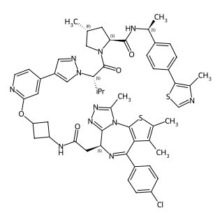 Cc1ncsc1-c1ccc([C@H](C)NC(=O)[C@@H]2C[C@@H](C)CN2C(=O)[C@H](C(C)C)n2cc(-c3ccnc(OC4CC(NC(=O)C[C@@H]5N=C(c6ccc(Cl)cc6)c6c(sc(C)c6C)-n6c(C)nnc65)C4)c3)cn2)cc1